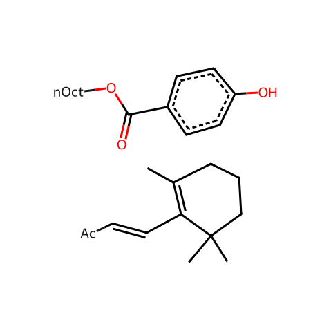 CC(=O)/C=C/C1=C(C)CCCC1(C)C.CCCCCCCCOC(=O)c1ccc(O)cc1